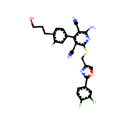 N#Cc1c(N)nc(SCc2coc(-c3ccc(F)c(Cl)c3)n2)c(C#N)c1-c1ccc(CCCO)c(F)c1